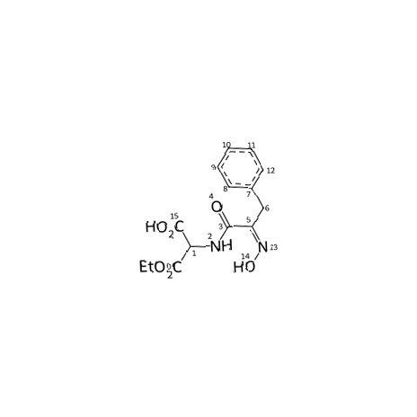 CCOC(=O)C(NC(=O)/C(Cc1ccccc1)=N\O)C(=O)O